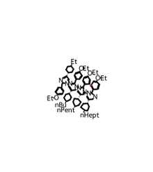 CCCCCCC[C@H]1CC[C@H](c2cnc(-c3ccc(OCC)cc3)nc2)CC1.CCCCC[C@H]1CC[C@H](c2cnc(-c3ccc(OCC)cc3)nc2)CC1.CCCC[C@H]1CC[C@H](c2cnc(-c3ccc(OCC)cc3)nc2)CC1.CCOc1ccc(-c2ncc([C@H]3CC[C@H](CC)CC3)cn2)cc1